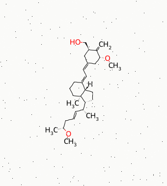 C=C1[C@H](CO)C/C(=C/C=C2\CCC[C@]3(C)[C@@H]([C@H](C)/C=C/C[C@@H](C)OC)CC[C@@H]23)C[C@H]1OC